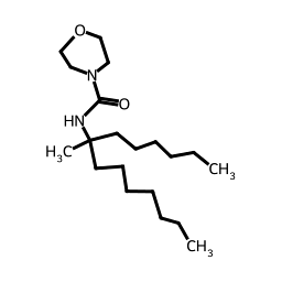 CCCCCCCC(C)(CCCCCC)NC(=O)N1CCOCC1